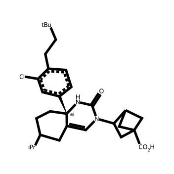 CC(C)C1CC[C@]2(c3ccc(CCC(C)(C)C)c(Cl)c3)NC(=O)N(C3CC4(C(=O)O)CC3C4)C=C2C1